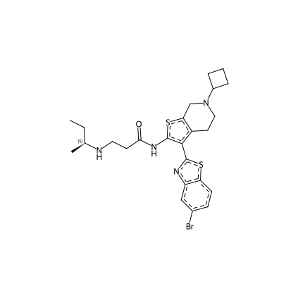 CC[C@H](C)NCCC(=O)Nc1sc2c(c1-c1nc3cc(Br)ccc3s1)CCN(C1CCC1)C2